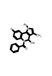 CC(=O)n1cc(C)c2c1-c1cc(F)ccc1N(C(=O)c1ccccc1)C2C#N